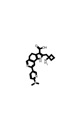 CN(C)c1ccc(-c2cc3c(cn2)CCc2c-3[nH]c(CC3(N)CCC3)c2C(=O)O)cn1